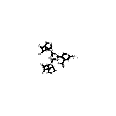 Nc1cc(C(F)F)c(-c2nc(N3C4CC5(CO4)C(F)C(F)C35)nc(N3C4COCC45C(F)C(F)C35)n2)cn1